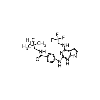 CC(C)(C)CNC(=O)c1ccc(Nc2nc(NCC(F)(F)F)c3ccnc-3[nH]2)cc1